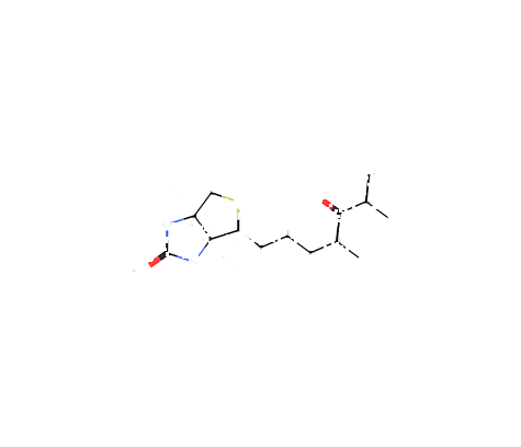 CC(C)C(=O)C(C)CCC[C@@H]1SC[C@@H]2NC(=O)N[C@@H]21